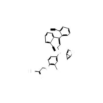 C#Cc1ccccc1C(=CCSc1ccc(OCC(=O)O)c(C)c1)c1ccccc1C#C.c1oc2cc1-2